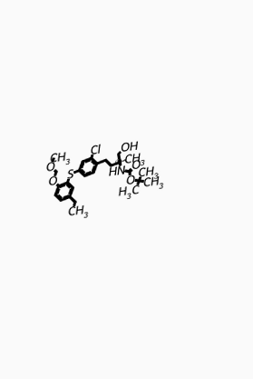 CCc1ccc(OCOC)c(Sc2ccc(CC[C@@](C)(CO)NC(=O)OC(C)(C)C)c(Cl)c2)c1